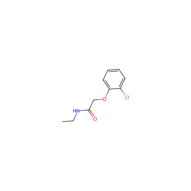 CCNC(=O)COc1ccccc1Cl